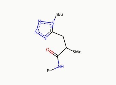 CCCCn1nnnc1CC(SC)C(=O)NCC